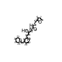 O=C(CSCc1ccco1)NC/C(O)=C/Cc1cc(CN2CCCCC2)ccn1